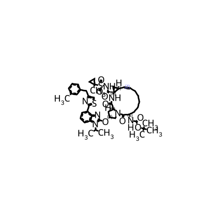 Cc1cccc(Cc2csc(-c3cccc4c3nc(O[C@@H]3C[C@H]5C(=O)N[C@]6(C(=O)NS(=O)(=O)C7(C)CC7)C[C@H]6/C=C\CCCCC[C@H](NC(=O)OC(C)(C)C)C(=O)N5C3)n4C(C)C)n2)c1